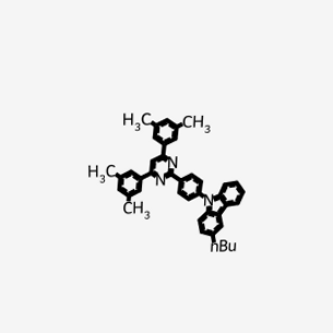 CCCCc1ccc2c(c1)c1ccccc1n2-c1ccc(-c2nc(-c3cc(C)cc(C)c3)cc(-c3cc(C)cc(C)c3)n2)cc1